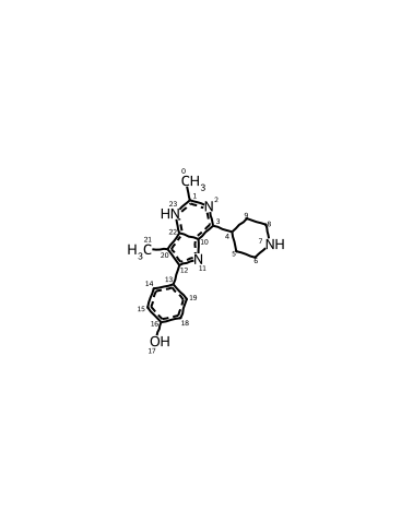 Cc1nc(C2CCNCC2)c2nc(-c3ccc(O)cc3)c(C)c-2[nH]1